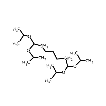 CC(C)OC(OC(C)C)[SiH2]CCC[SiH2]C(OC(C)C)OC(C)C